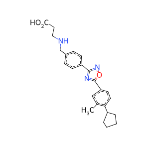 Cc1cc(-c2nc(-c3ccc(CNCCC(=O)O)cc3)no2)ccc1C1CCCC1